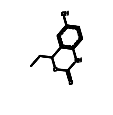 CCC1OC(=O)Nc2ccc(O)cc21